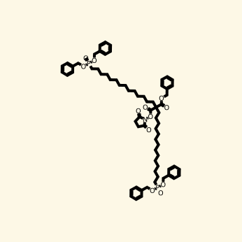 O=C1CCC(=O)N1OC(=O)C(CCCCCCCCCCCCCCP(=O)(OCc1ccccc1)OCc1ccccc1)(CCCCCCCCCCCCCCP(=O)(OCc1ccccc1)OCc1ccccc1)C(=O)OCc1ccccc1